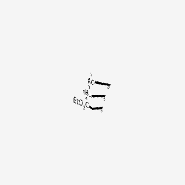 CC(C)=O.CCCCC.CCOC(C)=O